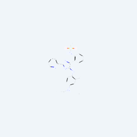 CCCCCCN(CCCCCC)c1ccc(/N=C2\N=C(c3ccccn3)N=C2c2cc(Cl)ccc2NS(C)(=O)=O)c(C)c1